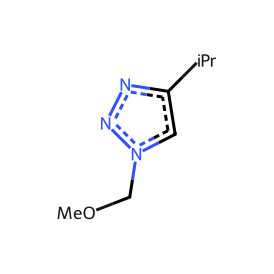 COCn1cc(C(C)C)nn1